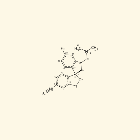 [C-]#[N+]c1ccc2c(c1)CO[C@@]2(CCCN(C)C)c1ccc(F)cc1